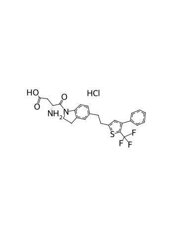 Cl.N[C@H](CC(=O)O)C(=O)N1CCc2cc(CCc3cc(-c4ccccc4)c(C(F)(F)F)s3)ccc21